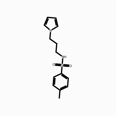 Cc1ccc(S(=O)(=O)NCCCn2cccc2)cc1